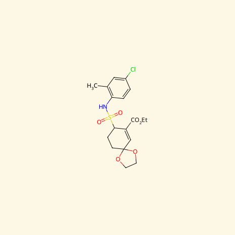 CCOC(=O)C1=CC2(CCC1S(=O)(=O)Nc1ccc(Cl)cc1C)OCCO2